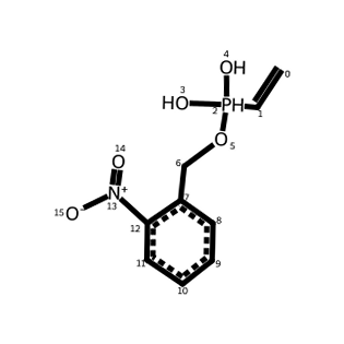 C=C[PH](O)(O)OCc1ccccc1[N+](=O)[O-]